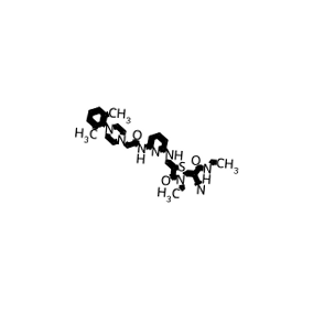 CCNC(=O)C(C#N)=c1sc(=CNc2cccc(NC(=O)CN3CCN(c4c(C)cccc4C)CC3)n2)c(=O)n1CC